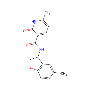 Cc1ccc2c(c1)C(NC(=O)c1ccc(C(F)(F)F)[nH]c1=O)CO2